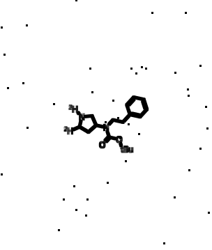 [2H]C1CC(N(CCc2ccccc2)C(=O)OC(C)(C)C)CN1[2H]